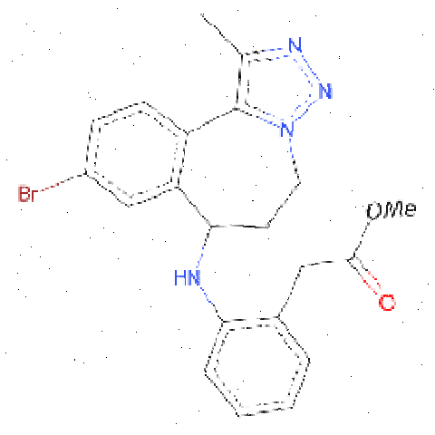 COC(=O)Cc1ccccc1NC1CCn2nnc(C)c2-c2ccc(Br)cc21